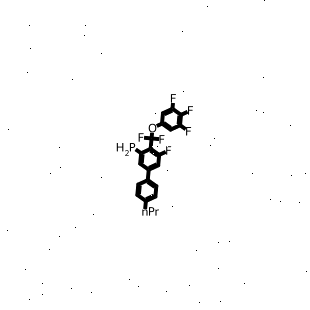 CCCc1ccc(-c2cc(F)c(C(F)(F)Oc3cc(F)c(F)c(F)c3)c(P)c2)cc1